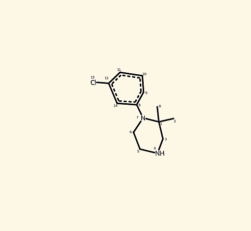 CC1(C)CNCCN1c1cccc(Cl)c1